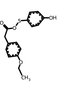 CCOc1ccc(CC(=O)OSc2ccc(O)cc2)cc1